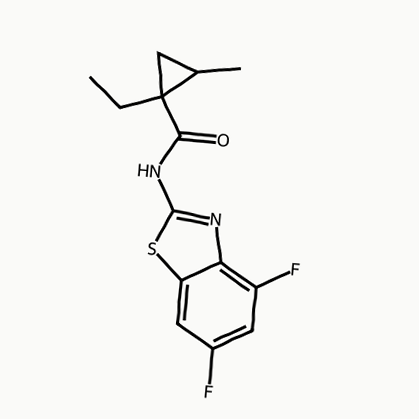 CCC1(C(=O)Nc2nc3c(F)cc(F)cc3s2)CC1C